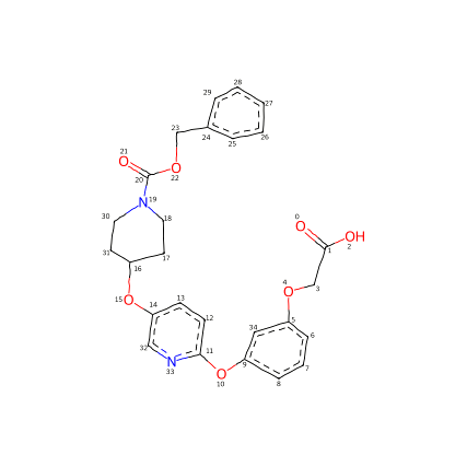 O=C(O)COc1cccc(Oc2ccc(OC3CCN(C(=O)OCc4ccccc4)CC3)cn2)c1